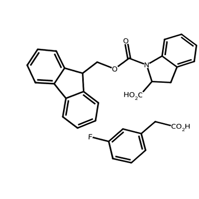 O=C(O)C1Cc2ccccc2N1C(=O)OCC1c2ccccc2-c2ccccc21.O=C(O)Cc1cccc(F)c1